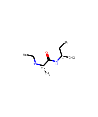 CC(=O)CN[C@@H](C)C(=O)N[C@H](C=O)CC(C)C